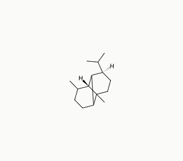 CC(C)[C@H]1CCC2(C)C3CCC(C)[C@@H]2C31